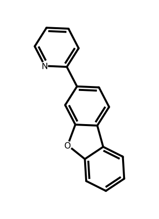 c1ccc(-c2ccc3c(c2)oc2ccccc23)nc1